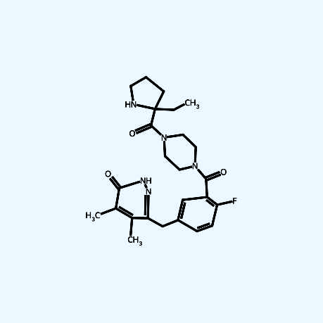 CCC1(C(=O)N2CCN(C(=O)c3cc(Cc4n[nH]c(=O)c(C)c4C)ccc3F)CC2)CCCN1